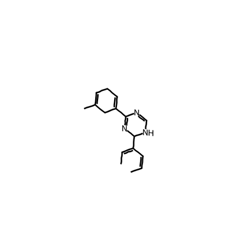 C/C=C\C(=C/C)C1N=C(C2=CCC=C(C)C2)N=CN1